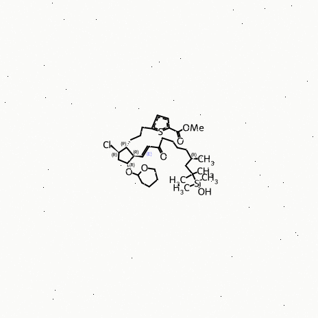 COC(=O)c1ccc(CCC[C@@H]2[C@@H](/C=C/C(=O)CCCC[C@@H](C)CC(C)(C)[Si](C)(C)O)[C@H](OC3CCCCO3)C[C@H]2Cl)s1